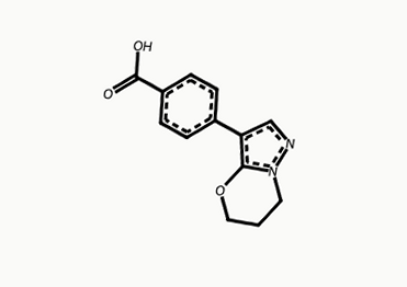 O=C(O)c1ccc(-c2cnn3c2OCCC3)cc1